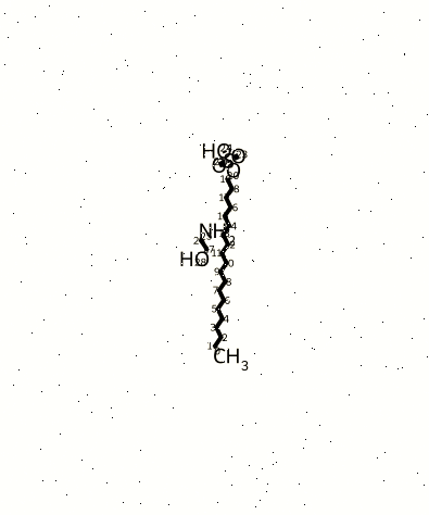 CCCCCCCCCCCCCCCCCCCCOS(=O)(=O)O.NCCO